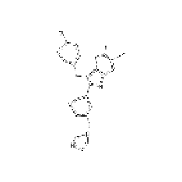 Fc1cc2nc(-c3cncc(Cn4ccnc4)c3)n(Cc3ccc(Cl)cc3)c2cc1I